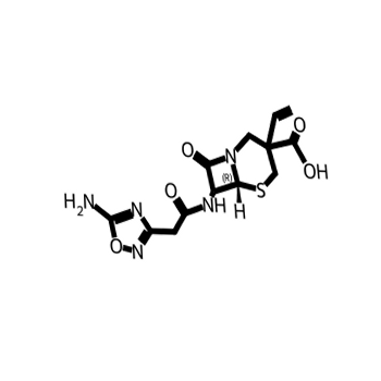 C=CC1(C(=O)O)CS[C@@H]2C(NC(=O)Cc3noc(N)n3)C(=O)N2C1